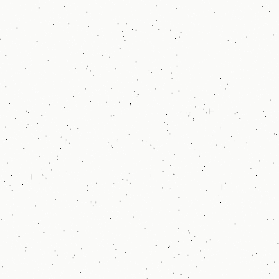 COc1c(N)ncnc1Nc1cc(C)c2c(n1)C1(CCCCC1)NC2=O